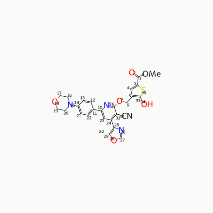 COC(=O)c1cc(COc2nc(-c3ccc(N4CCOCC4)cc3)cc(-c3ncoc3C)c2C#N)c(O)s1